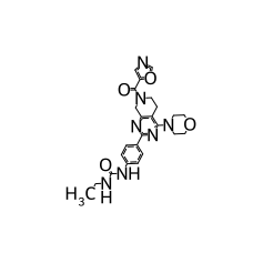 CCNC(=O)Nc1ccc(-c2nc3c(c(N4CCOCC4)n2)CCN(C(=O)c2cnco2)C3)cc1